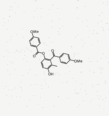 COc1ccc(C(=O)Oc2ccc(O)c(C)c2C(=O)c2ccc(OC)cc2)cc1